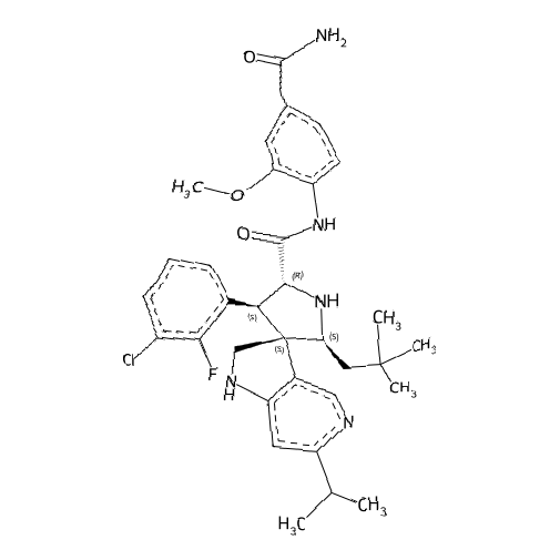 COc1cc(C(N)=O)ccc1NC(=O)[C@@H]1N[C@@H](CC(C)(C)C)[C@@]2(CNc3cc(C(C)C)ncc32)[C@H]1c1cccc(Cl)c1F